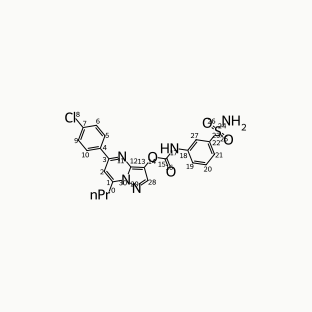 CCCc1cc(-c2ccc(Cl)cc2)nc2c(OC(=O)Nc3cccc(S(N)(=O)=O)c3)cnn12